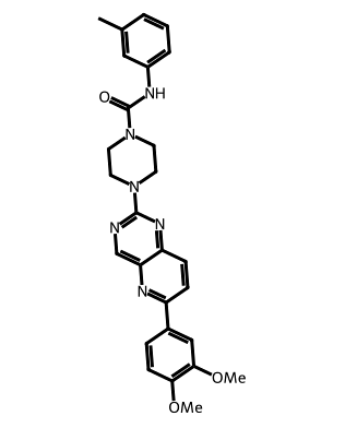 COc1ccc(-c2ccc3nc(N4CCN(C(=O)Nc5cccc(C)c5)CC4)ncc3n2)cc1OC